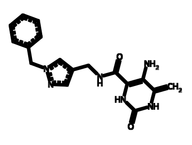 C=C1NC(=O)NC(C(=O)NCc2cnn(Cc3ccccc3)c2)=C1N